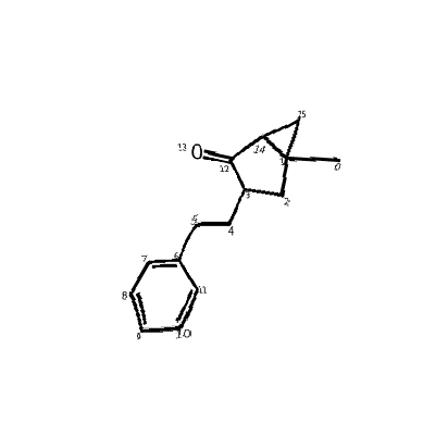 CC12CC(CCc3ccccc3)C(=O)C1C2